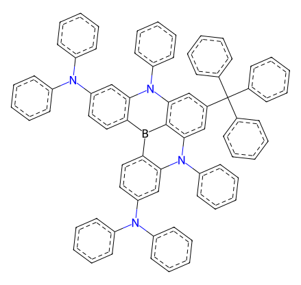 c1ccc(N(c2ccccc2)c2ccc3c(c2)N(c2ccccc2)c2cc(C(c4ccccc4)(c4ccccc4)c4ccccc4)cc4c2B3c2ccc(N(c3ccccc3)c3ccccc3)cc2N4c2ccccc2)cc1